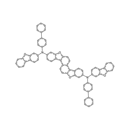 c1ccc(-c2ccc(N(c3ccc4c(c3)oc3ccccc34)c3ccc4c(c3)oc3ccc5c(ccc6oc7cc(N(c8ccc(-c9ccccc9)cc8)c8ccc9c(c8)oc8ccccc89)ccc7c65)c34)cc2)cc1